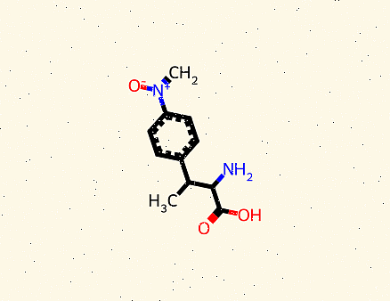 C=[N+]([O-])c1ccc(C(C)C(N)C(=O)O)cc1